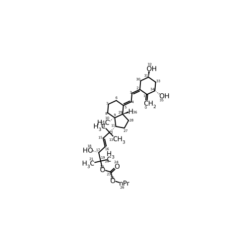 C=C1/C(=C\C=C2/CCC[C@]3(C)[C@@H](C(C)(C)/C=C/[C@@H](O)C(C)(C)OC(=O)OCCC)CC[C@@H]23)C[C@@H](O)C[C@@H]1O